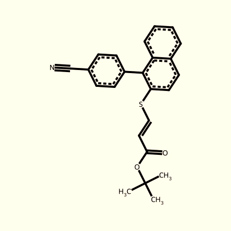 CC(C)(C)OC(=O)/C=C/Sc1ccc2ccccc2c1-c1ccc(C#N)cc1